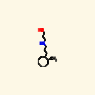 CC1CCCCCCC1CCCNCCCO